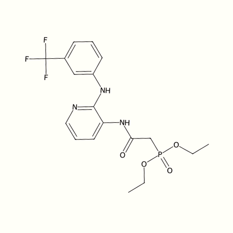 CCOP(=O)(CC(=O)Nc1cccnc1Nc1cccc(C(F)(F)F)c1)OCC